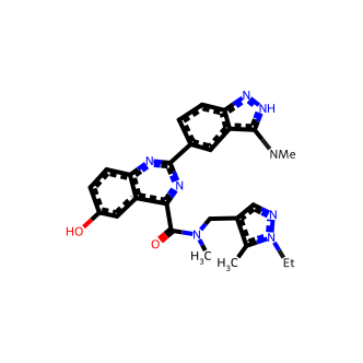 CCn1ncc(CN(C)C(=O)c2nc(-c3ccc4n[nH]c(NC)c4c3)nc3ccc(O)cc23)c1C